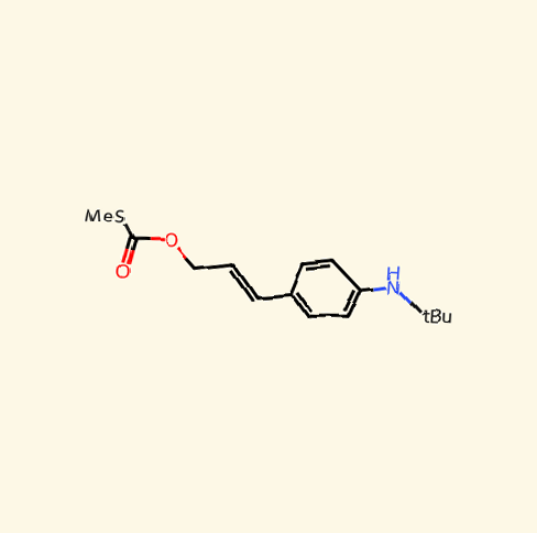 CSC(=O)OC/C=C/c1ccc(NC(C)(C)C)cc1